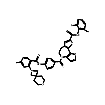 Cc1ccc(C(=O)Nc2ccc(C(=O)N3CCc4cc(C(=O)Nc5c(F)cccc5F)sc4-c4sccc43)cc2)c(N2CC3(CCOCC3)C2)n1